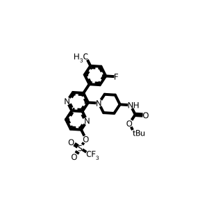 Cc1cc(F)cc(-c2cnc3ccc(OS(=O)(=O)C(F)(F)F)nc3c2N2CCC(NC(=O)OC(C)(C)C)CC2)c1